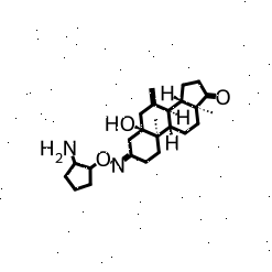 C=C1C[C@@]2(O)CC(=NOC3CCCC3N)CC[C@]2(C)[C@H]2CC[C@]3(C)C(=O)CC[C@H]3[C@H]12